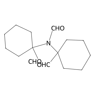 O=CN(C1(C=O)CCCCC1)C1(C=O)CCCCC1